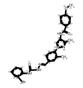 Cc1cc(/C=N/NC(=O)Nc2ccccc2C(C)C)ccc1-n1cc(NC(=O)c2ccc(OC(F)(F)F)cc2)c(C)n1